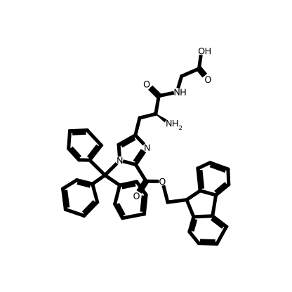 N[C@@H](Cc1cn(C(c2ccccc2)(c2ccccc2)c2ccccc2)c(C(=O)OCC2c3ccccc3-c3ccccc32)n1)C(=O)NCC(=O)O